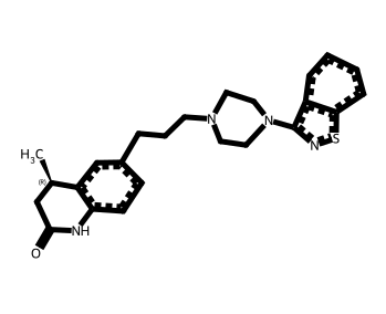 C[C@@H]1CC(=O)Nc2ccc(CCCN3CCN(c4nsc5ccccc45)CC3)cc21